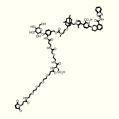 Cc1c(-c2ccc(N3CCc4cccc(C(=O)Nc5nc6ccccc6s5)c4C3)nc2C(=O)O)cnn1CC12CC3(C)CC(C)(C1)CC(OCCN(C)C(=O)OCc1ccc(O[C@@H]4O[C@H](CO)C(O)[C@H](O)[C@H]4O)c(NC(=O)CCNC(=O)COCCNC(=O)[C@@H](CS(=O)(=O)O)NC(=O)CCOCCOCCOCCOCCNC(=O)CCN4C(=O)C=CC4=O)c1)(C3)C2